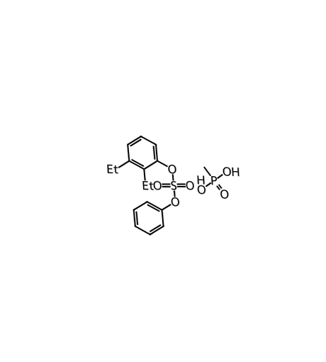 CCc1cccc(OS(=O)(=O)Oc2ccccc2)c1CC.CP(=O)(O)O